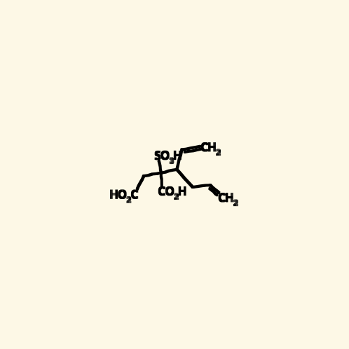 C=CCC(C=C)C(CC(=O)O)(C(=O)O)S(=O)(=O)O